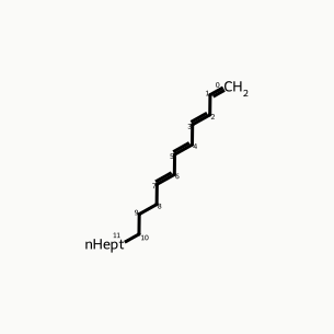 C=C/C=C/C=C/C=C/CCCCCCCCCC